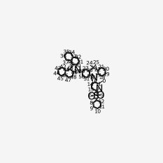 Cc1nc(S(=O)(=O)c2ccccc2)ccc1N1c2ccccc2C(C)(C)c2cc(-n3c4ccc5ccccc5c4c4c5ccccc5ccc43)ccc21